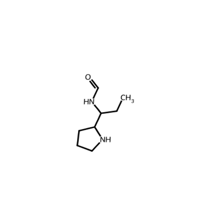 CCC(NC=O)C1CCCN1